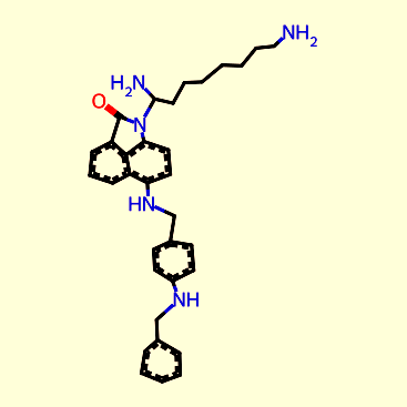 NCCCCCCCC(N)N1C(=O)c2cccc3c(NCc4ccc(NCc5ccccc5)cc4)ccc1c23